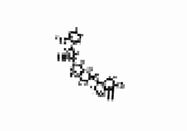 COc1ccccc1-c1cc(C2COc3ccc(Oc4ccnc5c4CCC(=O)N5)cc3C2)[nH]n1